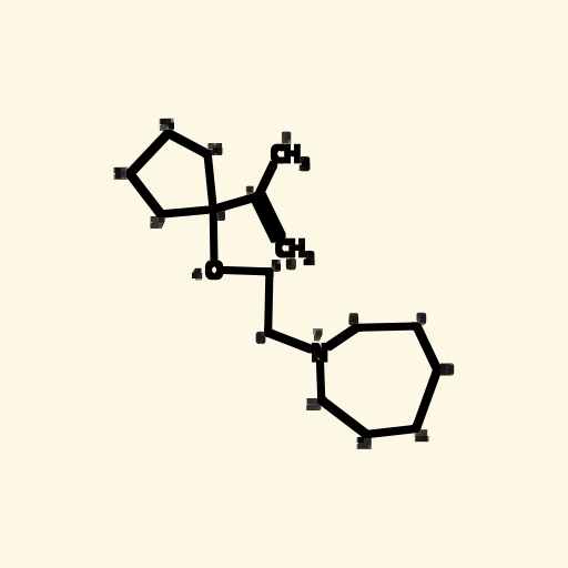 C=C(C)C1(OCCN2CCCCCC2)CCCC1